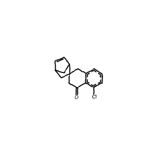 O=C1CC2(Cc3cccc(Cl)c31)CC1C=CC2C1